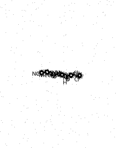 COC(=O)C(Cc1ccc(-c2ccc(C#N)cc2)cc1)NC(=O)C1Cc2cc3c(cc2CN1)OC(c1ccc(OCc2c(Cl)cccc2Cl)cc1)C(=O)N3